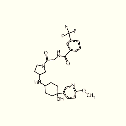 COc1ccc(C2(O)CCC(NC3CCN(C(=O)CNC(=O)c4cccc(C(F)(F)F)c4)C3)CC2)cn1